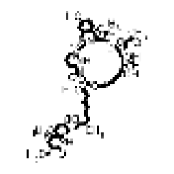 CC[C@H]1C[C@H](C)[C@@]2(NC1=O)O[C@@H](C[C@H](O)[C@@H](C)CCC=CC=C(C)[C@@H]1CC=CC=C[C@H](O)[C@H](C)[C@@H](O)[C@@H](CCC(C)=O)C(=O)N[C@@H](C(C)C)C(=O)N[C@@H](Cc3cccc(O)c3)C(=O)N3CCC[C@H](N3)C(=O)O1)[C@H](C)C=C2C